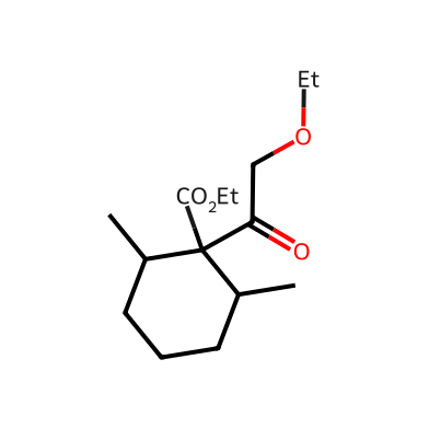 CCOCC(=O)C1(C(=O)OCC)C(C)CCCC1C